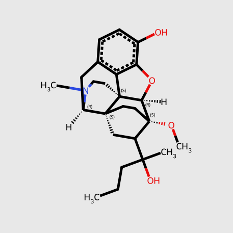 CCCC(C)(O)C1C[C@@]23CC[C@@]1(OC)[C@@H]1Oc4c(O)ccc5c4[C@@]12CCN(C)[C@@H]3C5